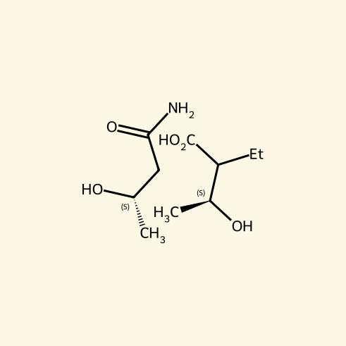 CCC(C(=O)O)[C@H](C)O.C[C@H](O)CC(N)=O